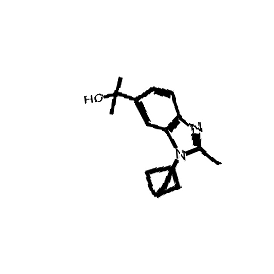 Cc1nc2ccc(C(C)(C)O)cc2n1C12CC(C1)C2